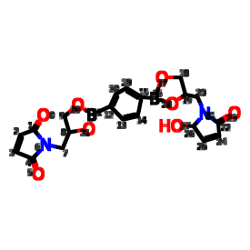 O=C1C=CC(=O)N1CC1COB(c2ccc(B3OCC(CN4C(=O)C=CC4O)O3)cc2)O1